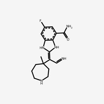 CC1(/C(C=N)=C2\Nc3cc(F)cc(C(N)=O)c3N2)CCCNCC1